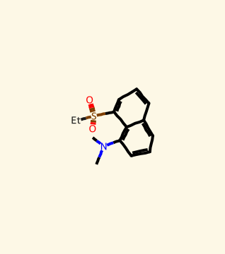 CCS(=O)(=O)c1cccc2cccc(N(C)C)c12